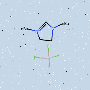 CCCCN1C=[N+](CCCC)CC1.F[B-](F)(F)F